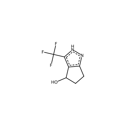 OC1CCc2n[nH]c(C(F)(F)F)c21